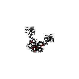 ClC(Cl)(Cl)C(Cl)(Cl)CCCCCCc1ccccc1[Si](O[Si](c1ccccc1)(c1ccccc1)c1ccccc1CCCCCCC(Cl)(Cl)C(Cl)(Cl)Cl)(c1ccccc1)c1ccccc1